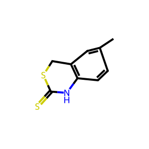 Cc1ccc2c(c1)CSC(=S)N2